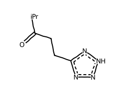 CC(C)C(=O)CCc1nn[nH]n1